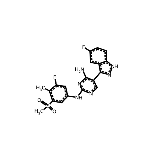 Cc1c(F)cc(Nc2ncc(-c3n[nH]c4ccc(F)cc34)c(N)n2)cc1S(C)(=O)=O